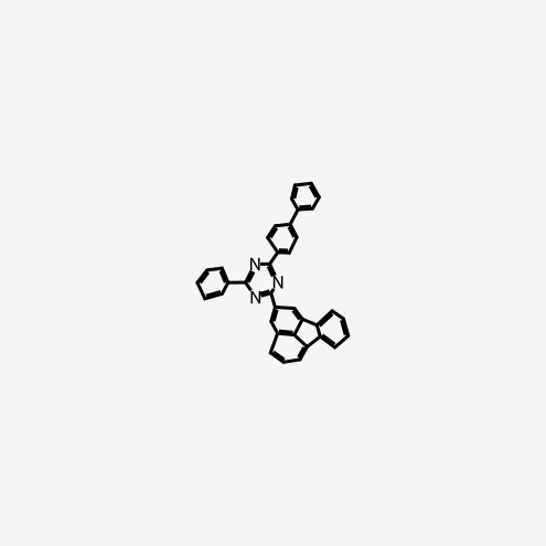 c1ccc(-c2ccc(-c3nc(-c4ccccc4)nc(-c4cc5c6c(cccc6c4)-c4ccccc4-5)n3)cc2)cc1